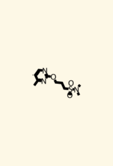 Cc1[c]cnc(OCCCS(=O)(=O)N(C)C)n1